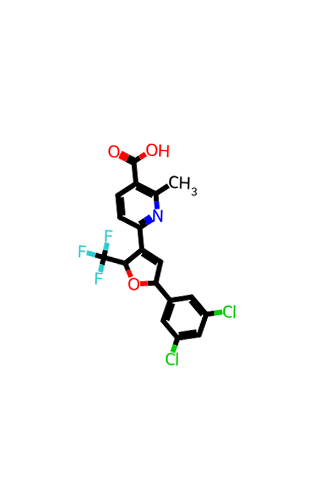 Cc1nc(C2=CC(c3cc(Cl)cc(Cl)c3)OC2C(F)(F)F)ccc1C(=O)O